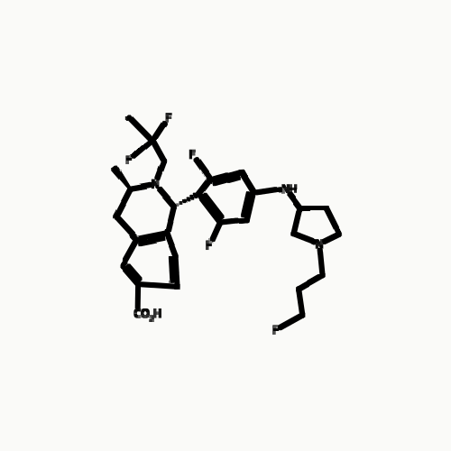 C[C@@H]1Cc2cc(C(=O)O)ccc2[C@@H](c2c(F)cc(NC3CCN(CCCF)C3)cc2F)N1CC(C)(F)F